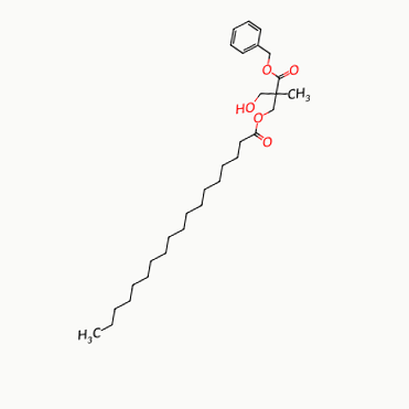 CCCCCCCCCCCCCCCCCC(=O)OCC(C)(CO)C(=O)OCc1ccccc1